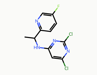 CC(Nc1cc(Cl)nc(Cl)n1)c1ccc(F)cn1